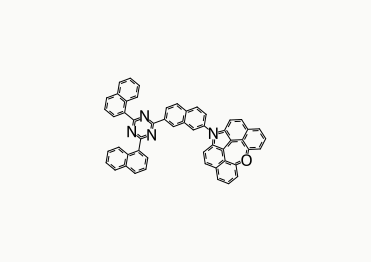 c1ccc2c(-c3nc(-c4ccc5ccc(-n6c7ccc8cccc9oc%10cccc%11ccc6c(c%11%10)c7c89)cc5c4)nc(-c4cccc5ccccc45)n3)cccc2c1